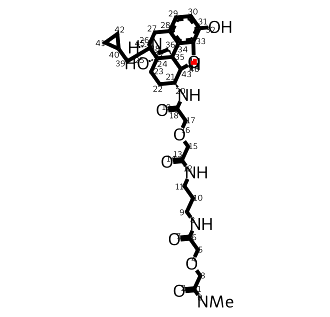 CNC(=O)COCC(=O)NCCCNC(=O)COCC(=O)N[C@@H]1CC[C@@]2(O)[C@H]3Cc4ccc(O)c5c4[C@@]2(CCN3CC2CC2)[C@H]1O5